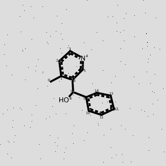 Cc1ccncc1C(O)c1cc[c]cc1